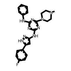 CN1CCN(c2nc(Nc3ccccc3)nc(Nc3cc(-c4ccc(F)cc4)[nH]n3)n2)CC1